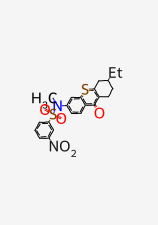 CCC1CCc2c(sc3cc(N(C)S(=O)(=O)c4cccc([N+](=O)[O-])c4)ccc3c2=O)C1